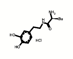 CCC(C)[C@H](N)C(=O)NCCc1ccc(O)c(O)c1.Cl